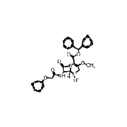 COC1=C(C(=O)OC(c2ccccc2)c2ccccc2)N2C(=O)[C@@H](NC(=O)COc3ccccc3)[C@H]2[S+]([O-])C1